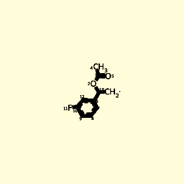 [CH2]C(OC(C)=O)c1cccc(F)c1